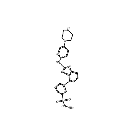 CC(C)(C)NS(=O)(=O)c1cccc(-c2cccc3nc(Nc4ccc(N5CCNCC5)cn4)nn23)c1